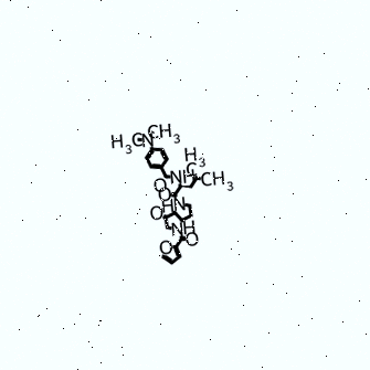 CC(C)C[C@H](NC(=O)c1ccc(N(C)C)cc1)C(=O)N1CC[C@@H]2[C@H]1C(=O)CN2C(=O)c1ccco1